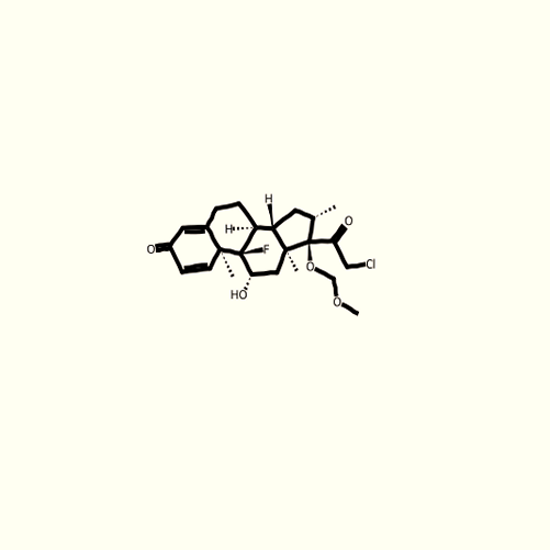 COCO[C@]1(C(=O)CCl)[C@@H](C)C[C@H]2[C@@H]3CCC4=CC(=O)C=C[C@]4(C)[C@@]3(F)[C@@H](O)C[C@@]21C